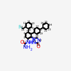 NC(=O)Nc1ccc(-c2ccccc2CF)c(-c2ccc(-c3ccccc3)cc2)c1-n1cnc(=O)[nH]1